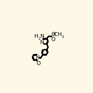 COC(=O)Cc1cc(Cc2ccc(Cn3ccccc3=O)cc2)cnc1N